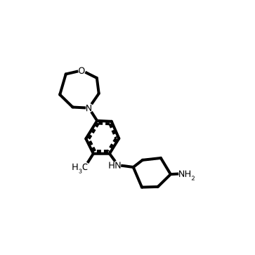 Cc1cc(N2CCCOCC2)ccc1NC1CCC(N)CC1